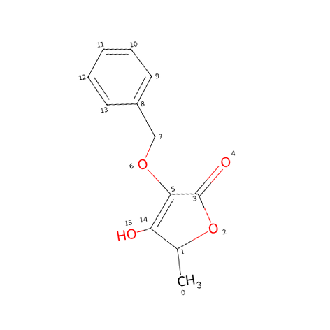 CC1OC(=O)C(OCc2ccccc2)=C1O